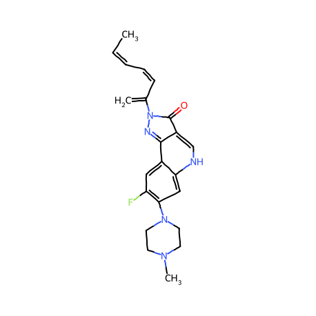 C=C(/C=C\C=C/C)n1nc2c3cc(F)c(N4CCN(C)CC4)cc3[nH]cc-2c1=O